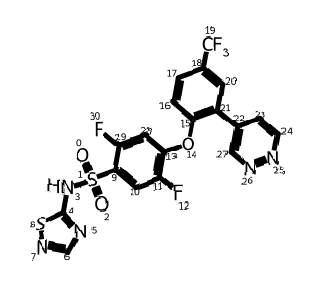 O=S(=O)(Nc1ncns1)c1cc(F)c(Oc2ccc(C(F)(F)F)cc2-c2ccnnc2)cc1F